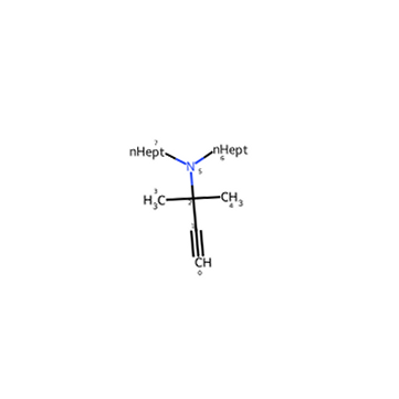 C#CC(C)(C)N(CCCCCCC)CCCCCCC